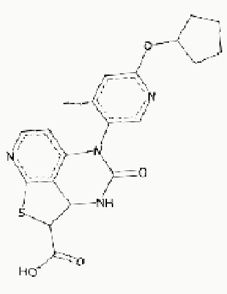 Cc1cc(OC2CCCC2)ncc1N1C(=O)NC2c3c1ccnc3SC2C(=O)O